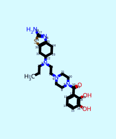 CCCN(CCN1CCN(C(=O)c2cccc(O)c2O)CC1)C1CCc2nc(N)sc2C1